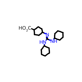 O=C(O)C1CCC(N=C(NC2CCCCC2)NC2CCCCC2)CC1